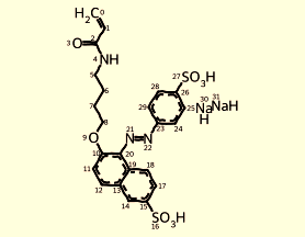 C=CC(=O)NCCCCOc1ccc2cc(S(=O)(=O)O)ccc2c1N=Nc1ccc(S(=O)(=O)O)cc1.[NaH].[NaH]